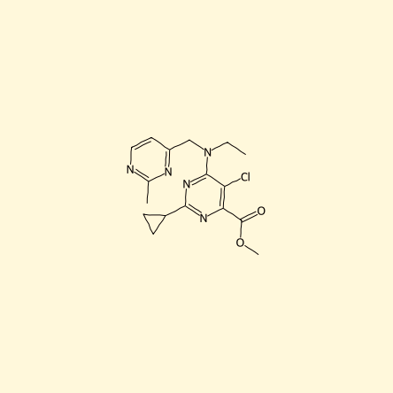 CCN(Cc1ccnc(C)n1)c1nc(C2CC2)nc(C(=O)OC)c1Cl